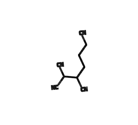 N#CCCCC(C#N)C(C#N)C#N